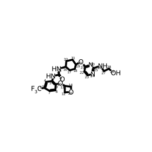 O=C(Nc1cc(C(F)(F)F)ccc1OC1COC1)NC1CCC(Oc2ccnc(NCCO)n2)CC1